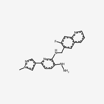 Cn1cc(-c2ccc(NN)c(NCc3cc4cccnc4cc3F)n2)cn1